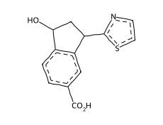 O=C(O)c1ccc2c(c1)C(c1nccs1)CC2O